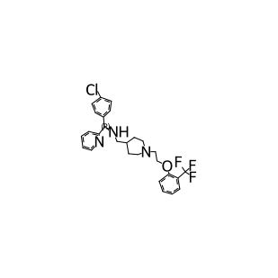 FC(F)(F)c1ccccc1OCCN1CCC(CN[C@H](c2ccc(Cl)cc2)c2ccccn2)CC1